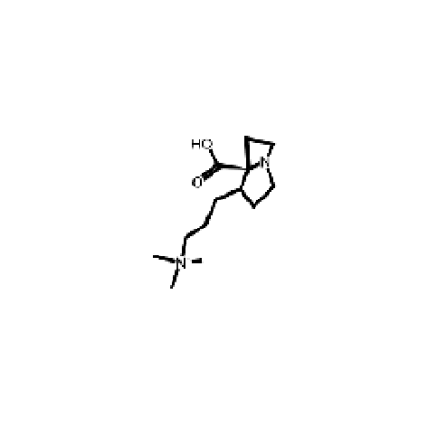 C[N+](C)(C)CCCC1CCN2CC[C@@]12C(=O)O